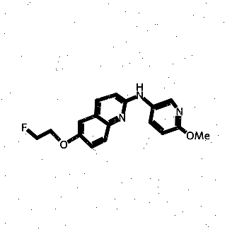 COc1ccc(Nc2ccc3cc(OCCF)ccc3n2)cn1